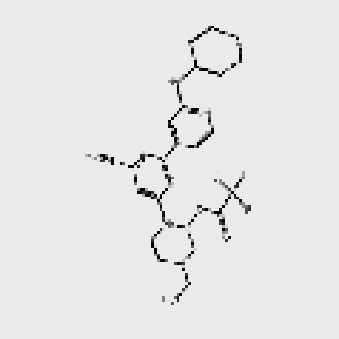 N#Cc1cc(-c2ccnc(NC3CCCCC3)c2)nc(N2CCC(CN)CC2OC(=O)C(F)(F)F)c1